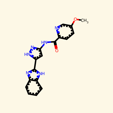 COc1ccc(C(=O)Nc2cc(-c3nc4ccccc4[nH]3)[nH]n2)nc1